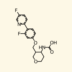 O=C(O)NC1CCOCC1COc1ccc(-c2ccc(F)cn2)c(F)c1